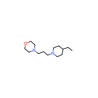 [CH2]CC1CCN(CCCN2CCOCC2)CC1